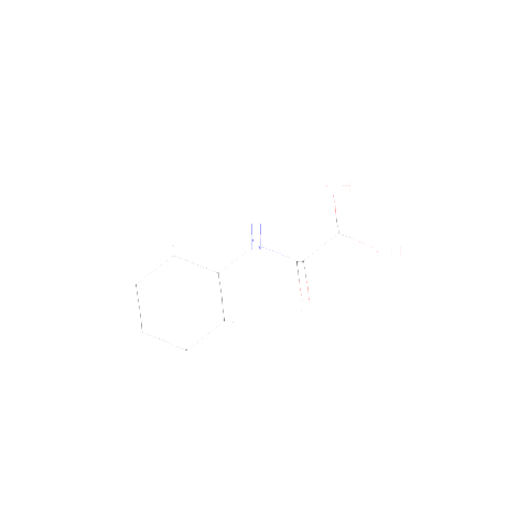 O=C(NC1CCCCC1)C(O)O